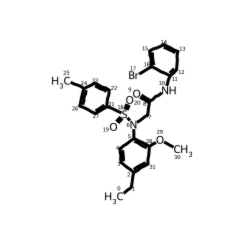 CCc1ccc(N(CC(=O)Nc2ccccc2Br)S(=O)(=O)c2ccc(C)cc2)c(OC)c1